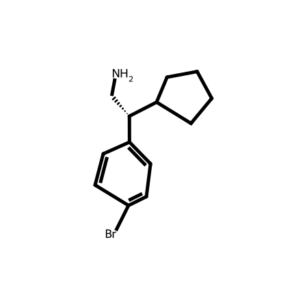 NC[C@@H](c1ccc(Br)cc1)C1CCCC1